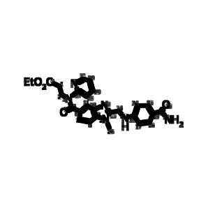 CCOC(=O)CCN(C(=O)c1ccc2c(c1)nc(CNc1ccc(C(N)=O)cc1)n2C)c1ccccn1